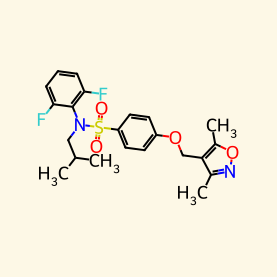 Cc1noc(C)c1COc1ccc(S(=O)(=O)N(CC(C)C)c2c(F)cccc2F)cc1